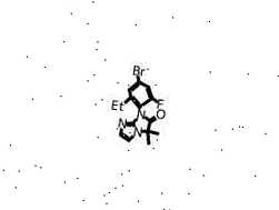 CCc1cc(Br)cc(F)c1N1C(=O)C(C)(C)n2ccnc21